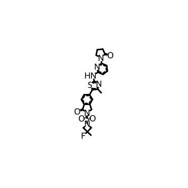 Cc1nc(Nc2cccc(N3CCCC3=O)n2)sc1-c1ccc2c(c1)CN(S(=O)(=O)N1CC(C)(F)C1)C2=O